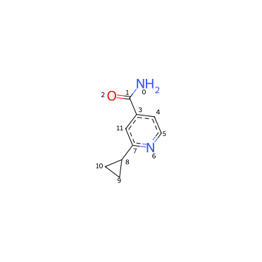 NC(=O)c1ccnc(C2CC2)c1